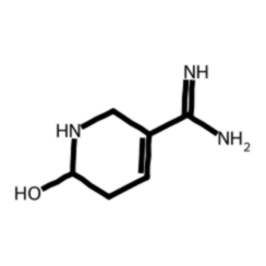 N=C(N)C1=CCC(O)NC1